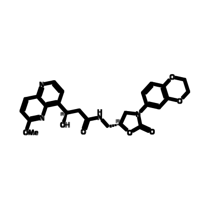 COc1ccc2nccc([C@H](O)CC(=O)NC[C@@H]3CN(c4ccc5c(c4)OCCO5)C(=O)O3)c2n1